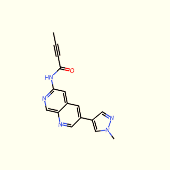 CC#CC(=O)Nc1cc2cc(-c3cnn(C)c3)cnc2cn1